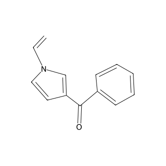 C=Cn1ccc(C(=O)c2ccccc2)c1